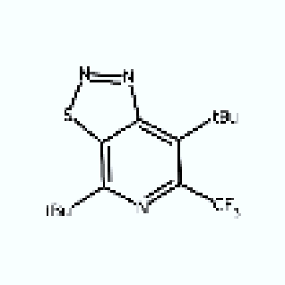 CC(C)(C)c1c(C(F)(F)F)nc(C(C)(C)C)c2snnc12